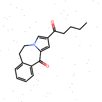 CCCCC(=O)c1cc2n(c1)CCc1ccccc1C2=O